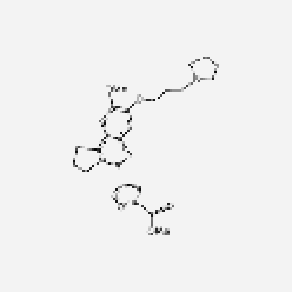 COC(=O)c1cc(-c2nc3cc(OCCCN4CCCC4)c(OC)cc3c3c2CCC3)co1